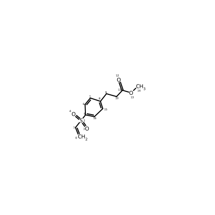 C=CS(=O)(=O)c1ccc(CCC(=O)OC)cc1